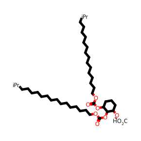 CC(C)CCCCCCCCCCCCCCCOC(=O)OC1CCCC(OC(=O)O)C1OC(=O)OCCCCCCCCCCCCCCCC(C)C